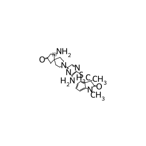 CN1C(=O)C(C)(C)c2c(Sc3ncc(N4CCC5(CC4)CC(=O)C[C@@H]5N)nc3N)cccc21